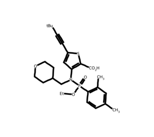 CCOP(=O)(c1ccc(C)cc1C)N(CC1CCOCC1)c1cc(C#CC(C)(C)C)sc1C(=O)O